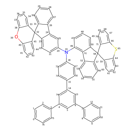 c1ccc(-c2cc(-c3ccccc3)cc(-c3ccc(N(c4ccc5c(c4)-c4ccccc4C54c5ccccc5Oc5ccccc54)c4cccc5c4-c4ccccc4C54c5ccccc5Sc5ccccc54)cc3)c2)cc1